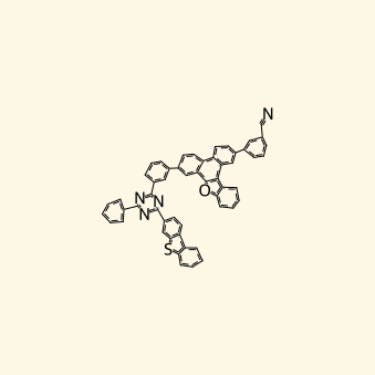 N#Cc1cccc(-c2ccc3c4ccc(-c5cccc(-c6nc(-c7ccccc7)nc(-c7ccc8c(c7)sc7ccccc78)n6)c5)cc4c4oc5ccccc5c4c3c2)c1